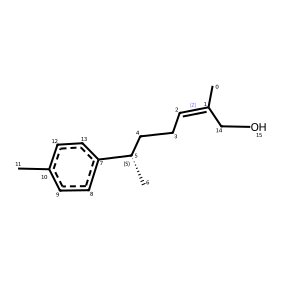 C/C(=C/CC[C@H](C)c1ccc(C)cc1)CO